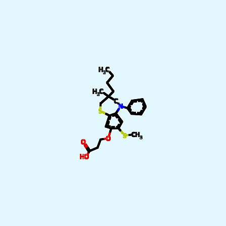 CCCCC1(C)CSc2cc(OCCC(=O)O)c(SC)cc2N(c2ccccc2)C1